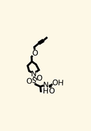 CC#CCOCC1CCN(S(=O)(=O)CC(C)NC(=O)O)CC1